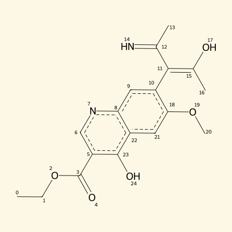 CCOC(=O)c1cnc2cc(/C(C(C)=N)=C(\C)O)c(OC)cc2c1O